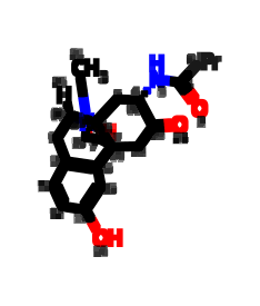 CC(C)C(=O)N[C@H]1C[C@@]2(O)[C@H]3Cc4ccc(O)cc4[C@@]2(CCN3C)CC1=O